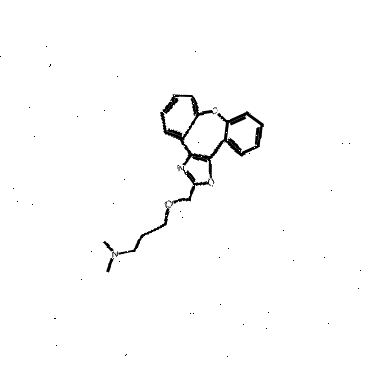 CN(C)CCCOCc1nc2c(o1)-c1ccccc1Oc1ccccc1-2